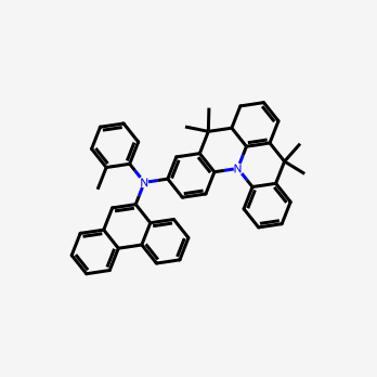 Cc1ccccc1N(c1ccc2c(c1)C(C)(C)C1CC=CC3=C1N2c1ccccc1C3(C)C)c1cc2ccccc2c2ccccc12